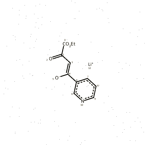 CCOC(=O)C(=O)C=C([O-])c1cccnc1.[Li+]